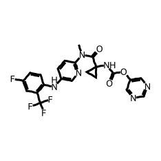 CN(C(=O)C1(NC(=O)Oc2cncnc2)CC1)c1ccc(Nc2ccc(F)cc2C(F)(F)F)cn1